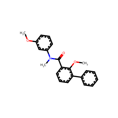 COc1cccc(N(C)C(=O)c2cccc(-c3ccccc3)c2OC)c1